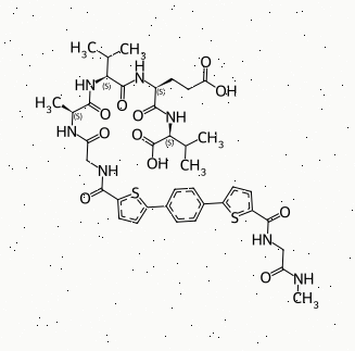 CNC(=O)CNC(=O)c1ccc(-c2ccc(-c3ccc(C(=O)NCC(=O)N[C@@H](C)C(=O)N[C@H](C(=O)N[C@@H](CCC(=O)O)C(=O)N[C@H](C(=O)O)C(C)C)C(C)C)s3)cc2)s1